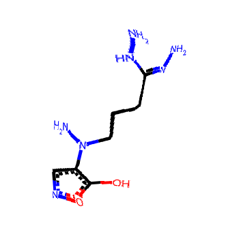 N/N=C(/CCCN(N)c1cnoc1O)NN